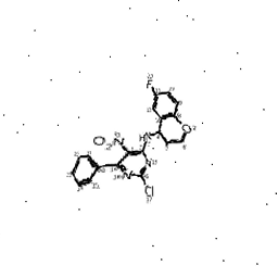 O=[N+]([O-])c1c(NC2CCOc3ccc(F)cc32)nc(Cl)nc1-c1ccccc1